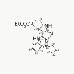 CCOC(=O)C1CCc2[nH]c3ncnc(Nc4ccccc4OC4CCCC4)c3c2C1